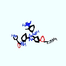 C=NNc1ccc(Nc2nc(-c3cccc(NC4OC4C4CCNCC4)c3)nc3ccc(OCCOC)cc23)cc1C